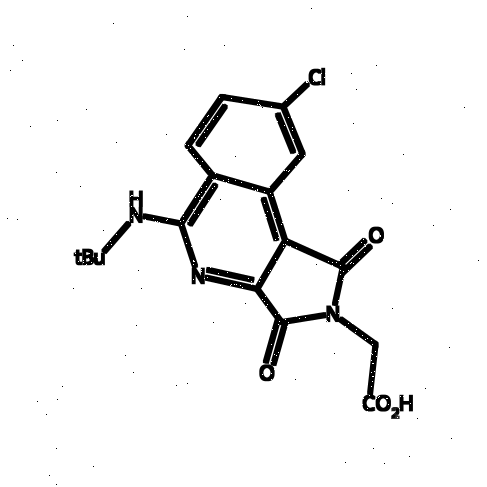 CC(C)(C)Nc1nc2c(c3cc(Cl)ccc13)C(=O)N(CC(=O)O)C2=O